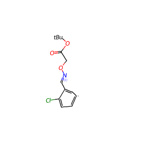 CC(C)(C)OC(=O)CO/N=C/c1c[c]ccc1Cl